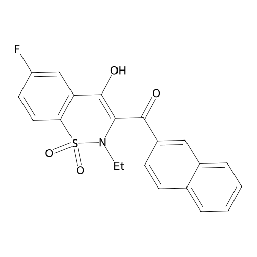 CCN1C(C(=O)c2ccc3ccccc3c2)=C(O)c2cc(F)ccc2S1(=O)=O